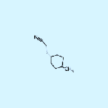 C[C@H]1CC[C@H](CCC#N)CC1